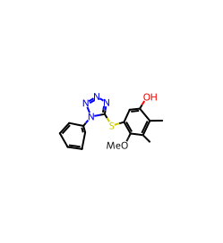 COc1c(Sc2nnnn2-c2ccccc2)cc(O)c(C)c1C